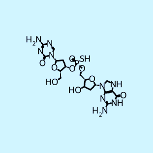 Nc1ncn([C@H]2C[C@@H](OP(=O)(S)OC[C@H]3O[C@@H](N4CNc5c4nc(N)[nH]c5=O)CC3O)[C@@H](CO)O2)c(=O)n1